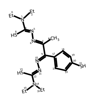 CCN(CC)/C(S)=N/N=C(C)/C(=N/N=C(\S)N(CC)CC)c1ccc(S)cc1